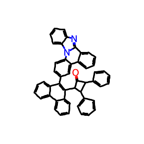 O=C1C(c2ccccc2)C(c2ccccc2)C1c1c(-c2ccc3c(c2)c2ccccc2c2nc4ccccc4n32)c2ccccc2c2ccccc12